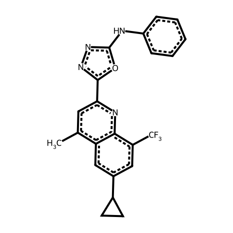 Cc1cc(-c2nnc(Nc3ccccc3)o2)nc2c(C(F)(F)F)cc(C3CC3)cc12